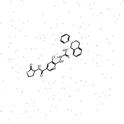 O=C(NC1CCSC1=O)c1cnc(NNC(=S)N[C@H]2c3ccccc3CC[C@H]2c2ccccc2)c(Cl)c1